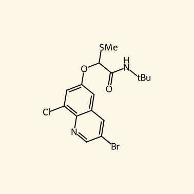 CSC(Oc1cc(Cl)c2ncc(Br)cc2c1)C(=O)NC(C)(C)C